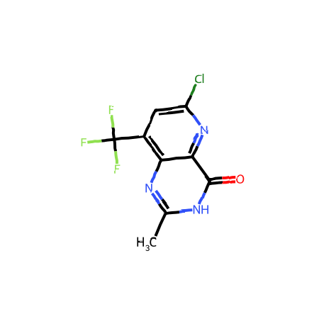 Cc1nc2c(C(F)(F)F)cc(Cl)nc2c(=O)[nH]1